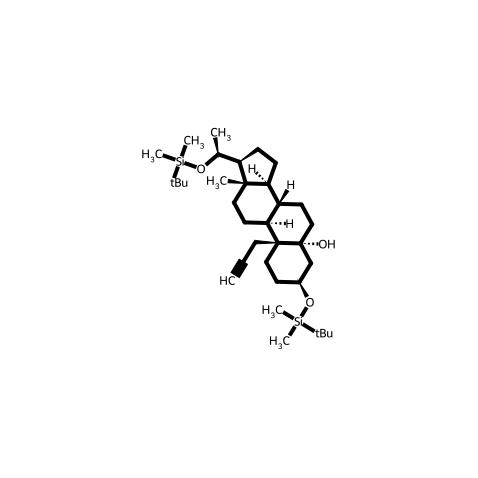 C#CC[C@]12CC[C@H](O[Si](C)(C)C(C)(C)C)C[C@]1(O)CC[C@H]1[C@@H]3CC[C@H]([C@H](C)O[Si](C)(C)C(C)(C)C)[C@@]3(C)CC[C@@H]12